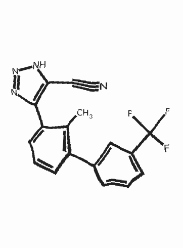 Cc1c(-c2cccc(C(F)(F)F)c2)cccc1-c1nn[nH]c1C#N